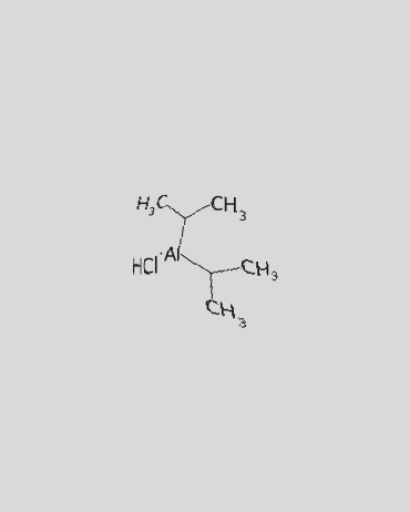 C[CH](C)[Al][CH](C)C.Cl